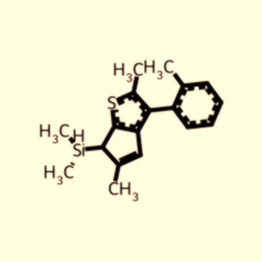 CC1=Cc2c(sc(C)c2-c2ccccc2C)C1[SiH](C)C